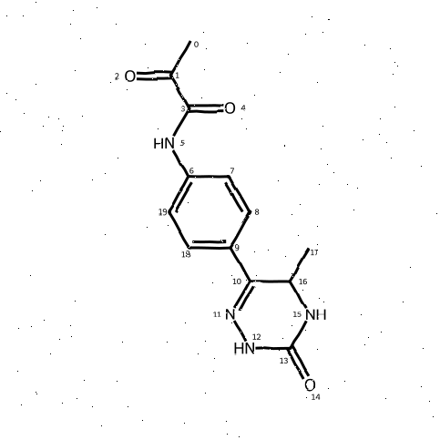 CC(=O)C(=O)Nc1ccc(C2=NNC(=O)NC2C)cc1